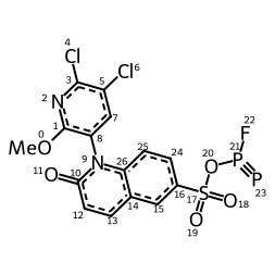 COc1nc(Cl)c(Cl)cc1-n1c(=O)ccc2cc(S(=O)(=O)OP(F)#P)ccc21